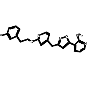 Nc1ncccc1-c1cc(Cc2ccnc(OCCc3cccc(F)c3)c2)no1